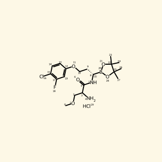 COCC(N)C(=O)N[C@H](CCOc1ccc(Cl)c(F)c1)B1OC(C)(C)C(C)(C)O1.Cl